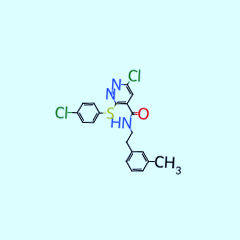 Cc1cccc(CCNC(=O)c2cc(Cl)nnc2Sc2ccc(Cl)cc2)c1